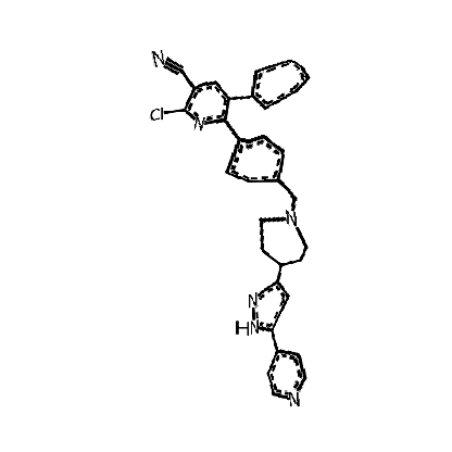 N#Cc1cc(-c2ccccc2)c(-c2ccc(CN3CCC(c4cc(-c5ccncc5)[nH]n4)CC3)cc2)nc1Cl